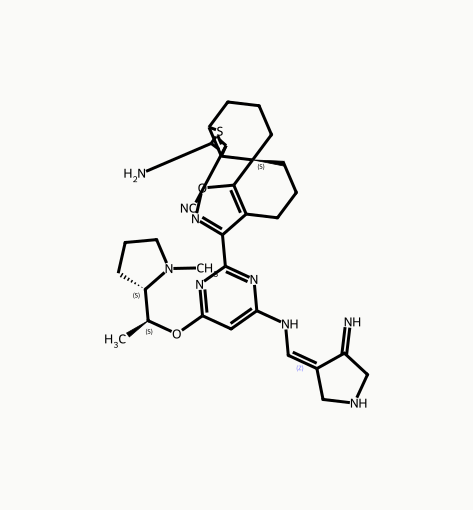 C[C@H](Oc1cc(N/C=C2/CNCC2=N)nc(-c2noc3c2CCC[C@@]32CCCc3sc(N)c(C#N)c32)n1)[C@@H]1CCCN1C